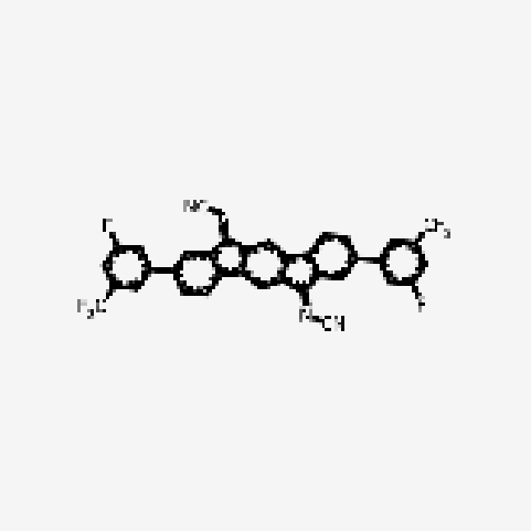 N#C/N=c1\c2cc(-c3cc(F)cc(C(F)(F)F)c3)ccc2c2cc3/c(=N/C#N)c4cc(-c5cc(F)cc(C(F)(F)F)c5)ccc4c3cc12